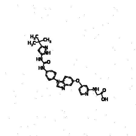 CC(C)(C)c1cc(NC(=O)Nc2ccc(-n3cnc4cc(Oc5ccnc(NCC(=O)O)c5)ccc43)cc2)[nH]n1